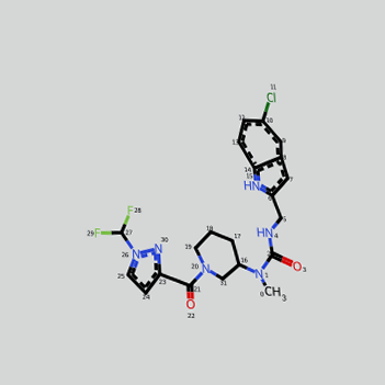 CN(C(=O)NCc1cc2cc(Cl)ccc2[nH]1)C1CCCN(C(=O)c2ccn(C(F)F)n2)C1